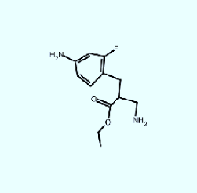 CCOC(=O)C(CN)Cc1ccc(N)cc1F